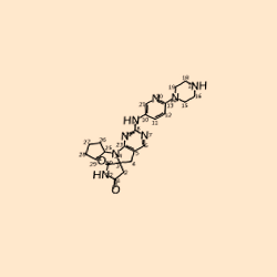 O=C1CC2(Cc3cnc(Nc4ccc(N5CCNCC5)nc4)nc3N2C2CCCC2)C(=O)N1